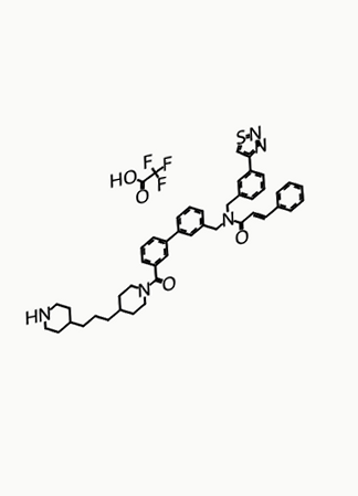 O=C(C=Cc1ccccc1)N(Cc1cccc(-c2cccc(C(=O)N3CCC(CCCC4CCNCC4)CC3)c2)c1)Cc1cccc(-c2csnn2)c1.O=C(O)C(F)(F)F